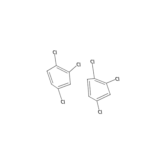 Clc1ccc(Cl)c(Cl)c1.Clc1ccc(Cl)c(Cl)c1